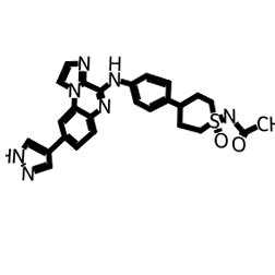 CC(=O)N=S1(=O)CCC(c2ccc(Nc3nc4ccc(-c5cn[nH]c5)cc4n4ccnc34)cc2)CC1